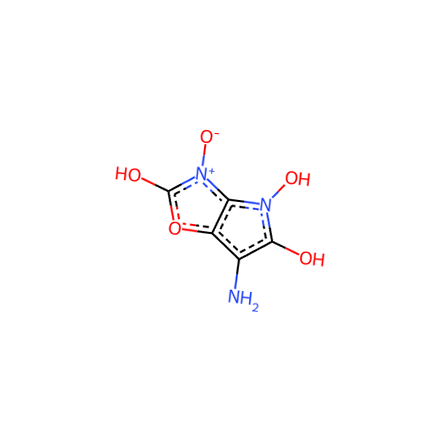 Nc1c(O)n(O)c2c1oc(O)[n+]2[O-]